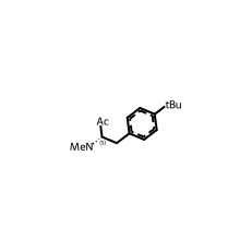 CN[C@@H](Cc1ccc(C(C)(C)C)cc1)C(C)=O